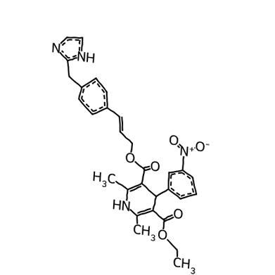 CCOC(=O)C1=C(C)NC(C)=C(C(=O)OCC=Cc2ccc(Cc3ncc[nH]3)cc2)C1c1cccc([N+](=O)[O-])c1